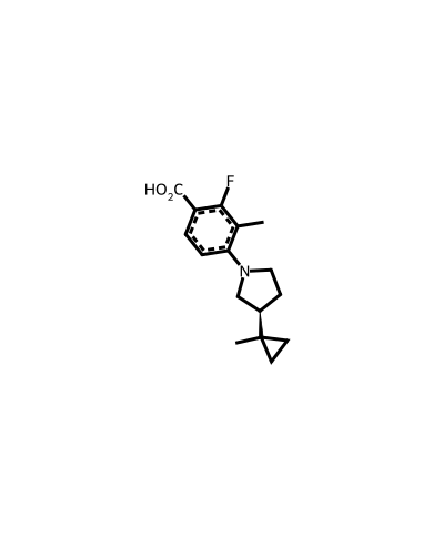 Cc1c(N2CC[C@@H](C3(C)CC3)C2)ccc(C(=O)O)c1F